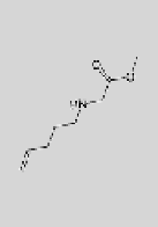 C=CCCCNCC(=O)OC